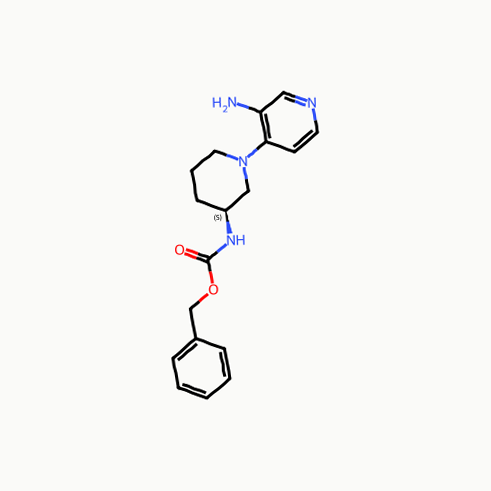 Nc1cnccc1N1CCC[C@H](NC(=O)OCc2ccccc2)C1